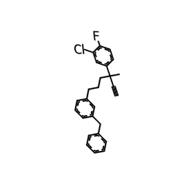 C#CC(C)(CCCc1cccc(Cc2ccccc2)c1)c1ccc(F)c(Cl)c1